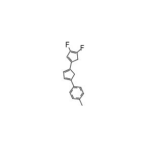 Cc1ccc(C2=CC=C(C3=CC(F)=C(F)C3)C2)cc1